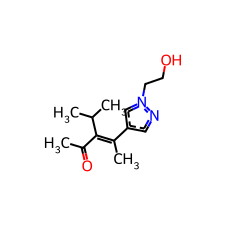 CC(=O)/C(=C(\C)c1cnn(CCO)c1)C(C)C